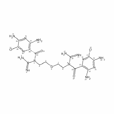 N=C(N)N(CCOCCN(C(=N)N)C(=O)c1nc(Cl)c(N)nc1N)C(=O)c1nc(Cl)c(N)nc1N